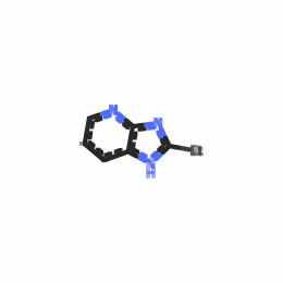 CCc1nc2nc[c]cc2[nH]1